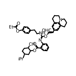 CCC(=O)Oc1ccc(CCN/C(=N/c2ccccc2C(=O)OC2CC(C(C)C)CCC2C)O/C(C=O)=C/c2cc3c4c(c2)CCCN4CCC3)cc1